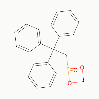 O=P1(CC(c2ccccc2)(c2ccccc2)c2ccccc2)OCO1